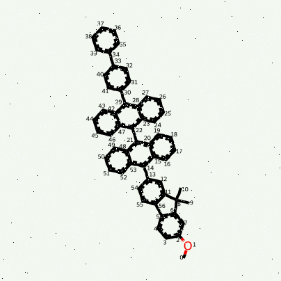 COc1ccc2c(c1)C(C)(C)c1cc(-c3c4ccccc4c(-c4c5ccccc5c(-c5ccc(-c6ccccc6)cc5)c5ccccc45)c4ccccc34)ccc1-2